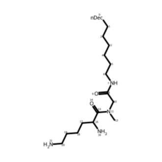 CCCCCCCCCCCCCCCCNC(=O)CN(C)C(=O)C(N)CCCCN